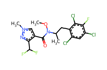 CON(C(=O)c1cn(C)nc1C(F)F)C(C)Cc1c(Cl)cc(Cl)c(F)c1Cl